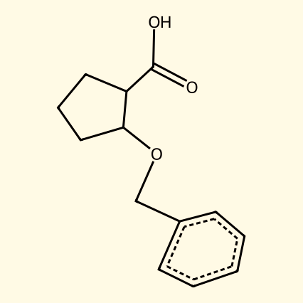 O=C(O)C1CCCC1OCc1ccccc1